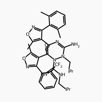 Cc1cccc(C)c1-c1noc(C)c1C(=O)N=C(N)N(CC(C)C)N(C(=N)NCC(C)C)C(=O)c1c(-c2ccccc2C(F)(F)F)noc1C